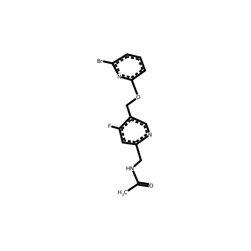 CC(=O)NCc1cc(F)c(COc2cccc(Br)n2)cn1